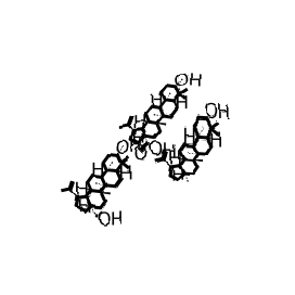 C=C(C)[C@@H]1CC[C@]2(C(=O)O)CC[C@]3(C)[C@H](CC[C@@H]4[C@@]5(C)CC[C@H](O)C(C)(C)[C@@H]5CC[C@]43C)[C@@H]12.C=C(C)[C@@H]1CC[C@]2(C)CC[C@]3(C)[C@H](CC[C@@H]4[C@@]5(C)CC[C@H](O)C(C)(C)[C@@H]5CC[C@]43C)[C@@H]12.C=C(C)[C@@H]1CC[C@]2(CO)CC[C@]3(C)[C@H](CC[C@@H]4[C@@]5(C)CC[C@H](O)C(C)(C)[C@@H]5CC[C@]43C)[C@@H]12